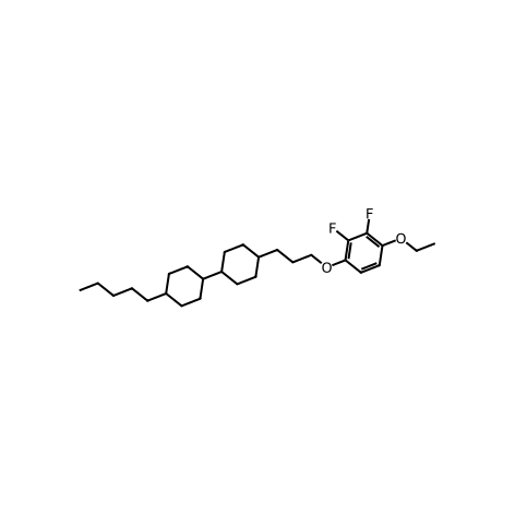 CCCCCC1CCC(C2CCC(CCCOc3ccc(OCC)c(F)c3F)CC2)CC1